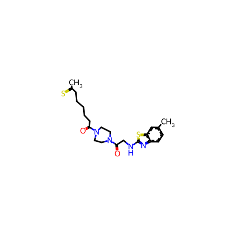 CC(=S)CCCCCC(=O)N1CCN(C(=O)CNc2nc3ccc(C)cc3s2)CC1